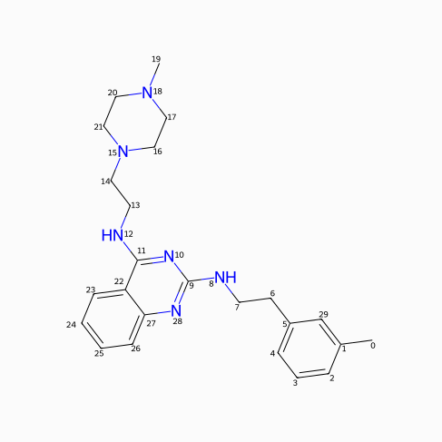 Cc1cccc(CCNc2nc(NCCN3CCN(C)CC3)c3ccccc3n2)c1